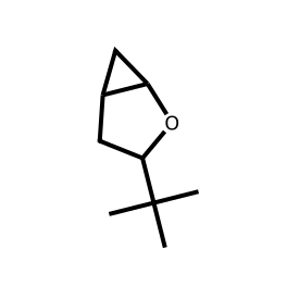 CC(C)(C)C1CC2CC2O1